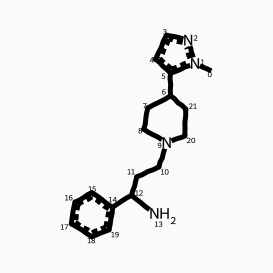 Cn1nccc1C1CCN(CCC(N)c2ccccc2)CC1